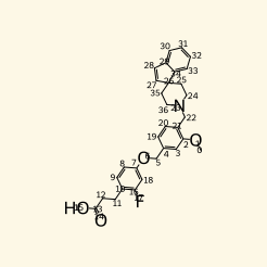 COc1cc(COc2ccc(CCC(=O)O)c(F)c2)ccc1CN1CCC2(C=Cc3ccccc32)CC1